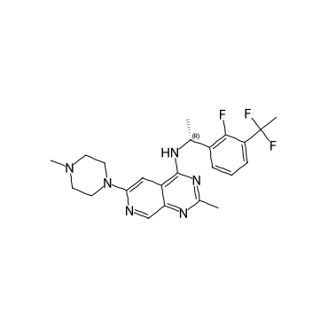 Cc1nc(N[C@H](C)c2cccc(C(C)(F)F)c2F)c2cc(N3CCN(C)CC3)ncc2n1